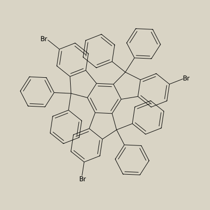 Brc1ccc2c(c1)C(c1ccccc1)(c1ccccc1)c1c-2c2c(c3c1-c1ccc(Br)cc1C3(c1ccccc1)c1ccccc1)-c1ccc(Br)cc1C2(c1ccccc1)c1ccccc1